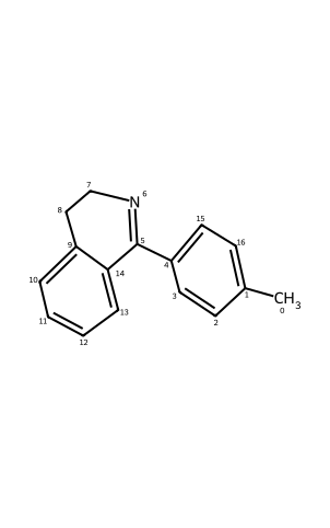 Cc1ccc(C2=NCCc3ccccc32)cc1